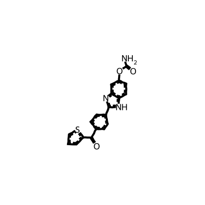 NC(=O)Oc1ccc2[nH]c(-c3ccc(C(=O)c4cccs4)cc3)nc2c1